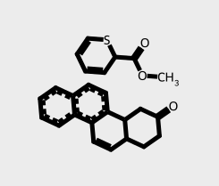 COC(=O)C1C=CC=CS1.O=C1CCC2C=Cc3c(ccc4ccccc34)C2C1